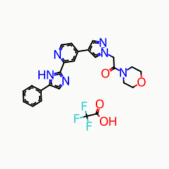 O=C(Cn1cc(-c2ccnc(-c3ncc(-c4ccccc4)[nH]3)c2)cn1)N1CCOCC1.O=C(O)C(F)(F)F